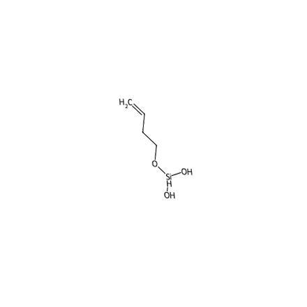 C=CCCO[SiH](O)O